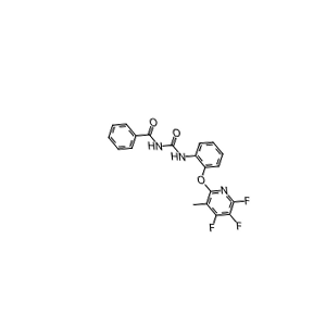 Cc1c(Oc2ccccc2NC(=O)NC(=O)c2ccccc2)nc(F)c(F)c1F